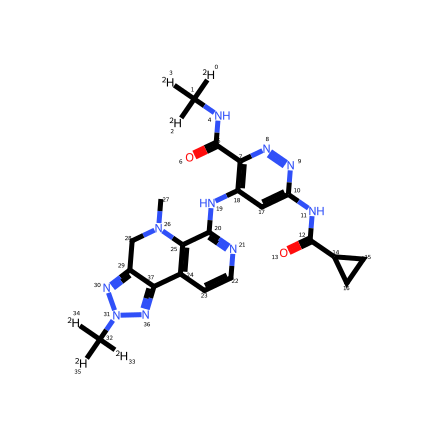 [2H]C([2H])([2H])NC(=O)c1nnc(NC(=O)C2CC2)cc1Nc1nccc2c1N(C)Cc1nn(C([2H])([2H])[2H])nc1-2